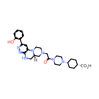 O=C(CN1CCN2c3cc(-c4ccccc4O)nnc3NC[C@H]2C1)N1CCN([C@H]2CC[C@@H](C(=O)O)CC2)CC1